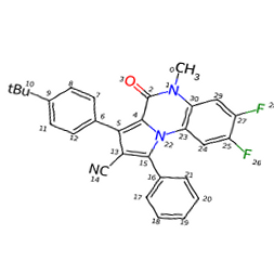 Cn1c(=O)c2c(-c3ccc(C(C)(C)C)cc3)c(C#N)c(-c3ccccc3)n2c2cc(F)c(F)cc21